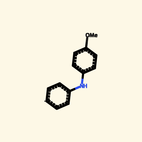 COc1ccc(Nc2cc[c]cc2)cc1